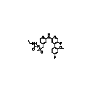 CCNC(=O)N=S(C)(=O)Cc1ccnc(Nc2cc(-c3ccc(F)cc3OC)c(F)cn2)c1